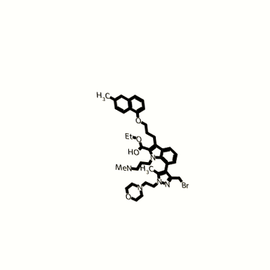 CCOC(O)c1c(CCCOc2cccc3c2C=CC(C)C3)c2cccc(-c3c(CBr)nn(CCN4CCOCC4)c3C)c2n1CCCNC